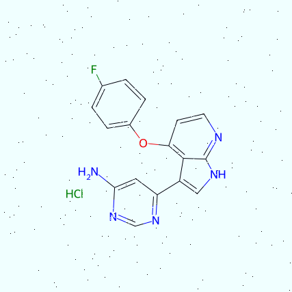 Cl.Nc1cc(-c2c[nH]c3nccc(Oc4ccc(F)cc4)c23)ncn1